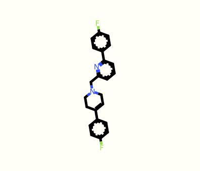 Fc1ccc(C2=CCN(Cc3cccc(-c4ccc(F)cc4)n3)CC2)cc1